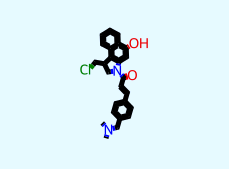 CN(C)Cc1ccc(/C=C/C(=O)N2CC(CCl)c3c2cc(O)c2ccccc32)cc1